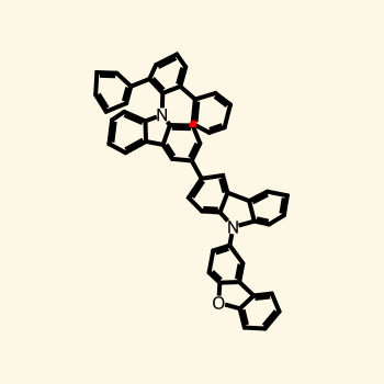 c1ccc(-c2cccc(-c3ccccc3)c2-n2c3ccccc3c3cc(-c4ccc5c(c4)c4ccccc4n5-c4ccc5oc6ccccc6c5c4)ccc32)cc1